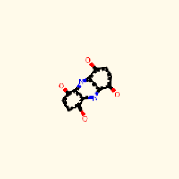 O=c1ccc(=O)c2nc3c(=O)ccc(=O)c3nc12